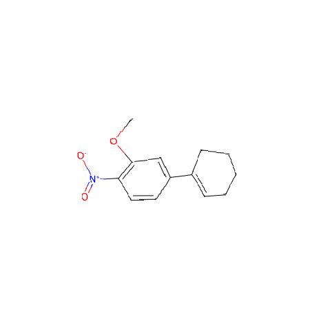 COc1cc(C2=CCCCC2)ccc1[N+](=O)[O-]